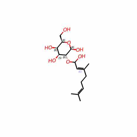 CC(C)=CCC/C(C)=C/C(O)O[C@@H]1[C@@H](O)[C@@H](O)[C@@H](CO)O[C@H]1O